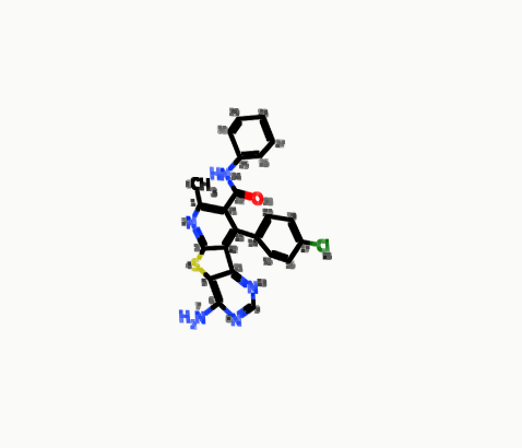 Cc1nc2sc3c(N)ncnc3c2c(-c2ccc(Cl)cc2)c1C(=O)Nc1ccccc1